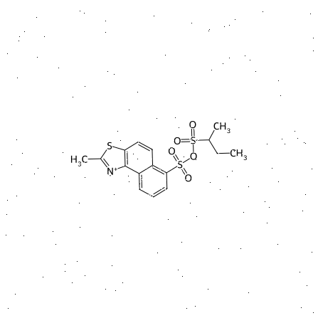 CCC(C)S(=O)(=O)OS(=O)(=O)c1cccc2c3c(ccc12)SC(C)=[N+]3